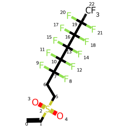 C=CS(=O)(=O)CCC(F)(F)C(F)(F)C(F)(F)C(F)(F)C(F)(F)C(F)(F)F